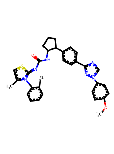 CCc1ccccc1-n1c(C)cs/c1=N\C(=O)NC1CCCC1c1ccc(-c2ncn(-c3ccc(OC(F)(F)F)cc3)n2)cc1